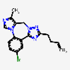 C=CCCc1nc2n(n1)Cc1c(C)ncn1-c1ccc(Br)cc1-2